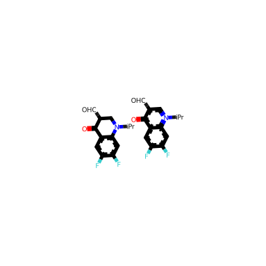 CC(C)N1CC(C=O)C(=O)c2cc(F)c(F)cc21.CC(C)n1cc(C=O)c(=O)c2cc(F)c(F)cc21